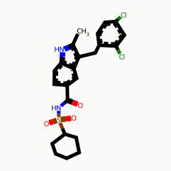 Cc1[nH]c2ccc(C(=O)NS(=O)(=O)C3CCCCC3)cc2c1Cc1ccc(Cl)cc1Cl